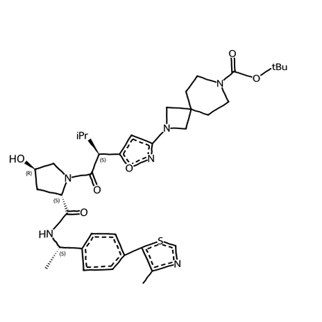 Cc1ncsc1-c1ccc([C@H](C)NC(=O)[C@@H]2C[C@@H](O)CN2C(=O)[C@H](c2cc(N3CC4(CCN(C(=O)OC(C)(C)C)CC4)C3)no2)C(C)C)cc1